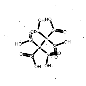 O=[Si](O)[Si]([Si](=O)O)([Si](=O)O)[Si]([Si](=O)O)([Si](=O)O)[Si](=O)O